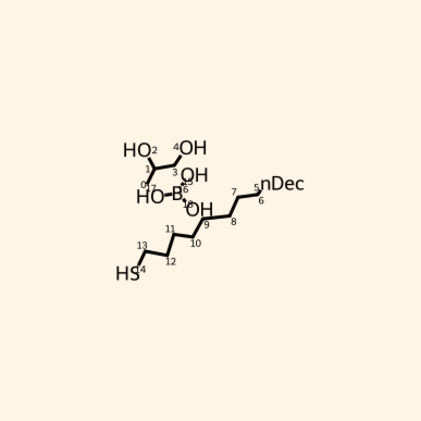 CC(O)CO.CCCCCCCCCCCCCCCCCCS.OB(O)O